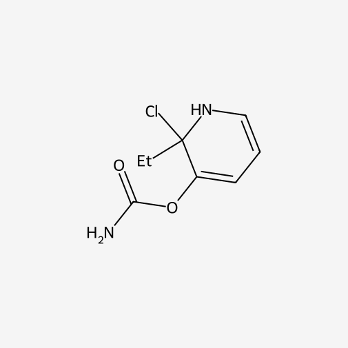 CCC1(Cl)NC=CC=C1OC(N)=O